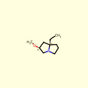 CC[C@@]12CCCN1C[C@@H](OC)C2